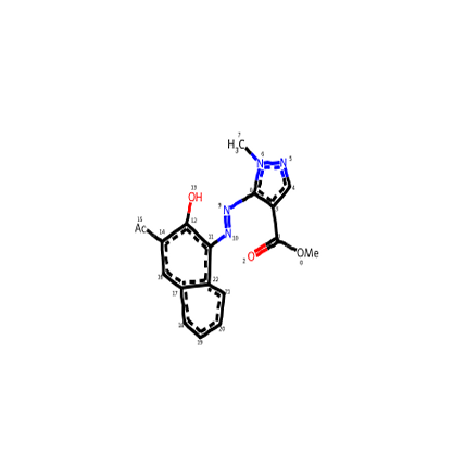 COC(=O)c1cnn(C)c1/N=N/c1c(O)c(C(C)=O)cc2ccccc12